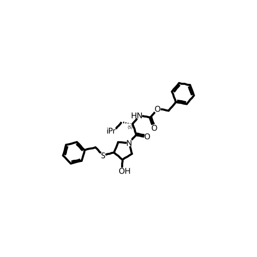 CC(C)C[C@H](NC(=O)OCc1ccccc1)C(=O)N1CC(O)C(SCc2ccccc2)C1